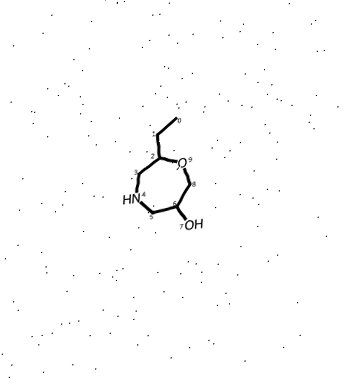 CCC1CNCC(O)CO1